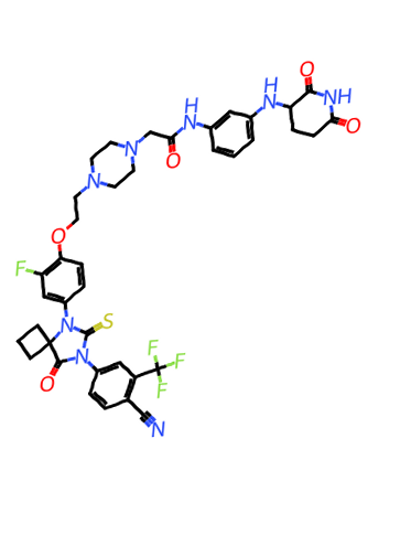 N#Cc1ccc(N2C(=O)C3(CCC3)N(c3ccc(OCCN4CCN(CC(=O)Nc5cccc(NC6CCC(=O)NC6=O)c5)CC4)c(F)c3)C2=S)cc1C(F)(F)F